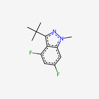 Cn1nc(C(C)(C)C)c2c(F)cc(F)cc21